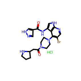 Cl.O=C(Nc1c[nH]c2ncc(Br)c(N3CCN(C(=O)CC4CCCN4)CC3)c12)c1cn[nH]c1